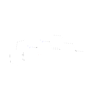 CC(=O)Cc1ccc(NC(=O)N2CCc3ccccc32)cc1